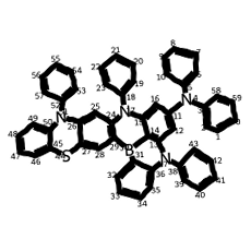 c1ccc(N(c2ccccc2)c2cc3c4c(c2)N(c2ccccc2)c2cc5c(cc2B4c2ccccc2N3c2ccccc2)Sc2ccccc2N5c2ccccc2)cc1